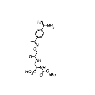 CCCCOC(=O)N[C@@H](CNC(=O)CON=C(C)c1ccc(C(=N)N)cc1)C(=O)O